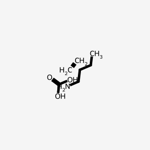 C=C.CCCCN.O=C(O)O